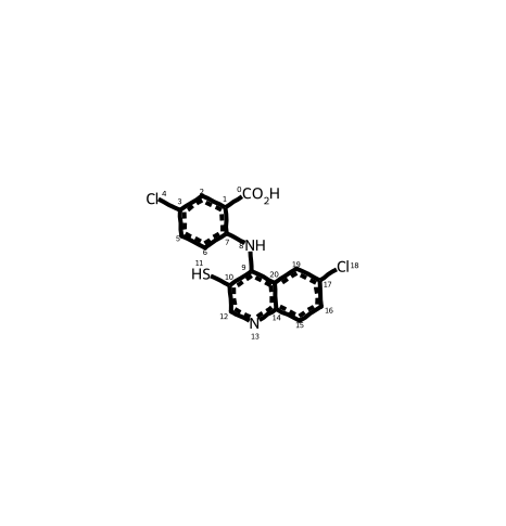 O=C(O)c1cc(Cl)ccc1Nc1c(S)cnc2ccc(Cl)cc12